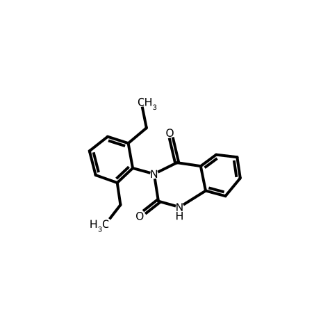 CCc1cccc(CC)c1-n1c(=O)[nH]c2ccccc2c1=O